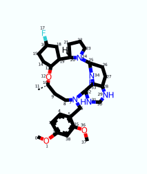 COc1ccc(CN2CC[C@H](C)OC3CCC(F)CC3[C@H]3CCCN3C3CCC4NCNC2C4N3)c(OC)c1